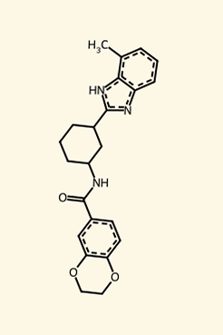 Cc1cccc2nc(C3CCCC(NC(=O)c4ccc5c(c4)OCCO5)C3)[nH]c12